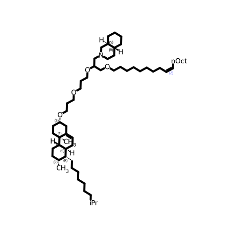 CCCCCCCC/C=C\CCCCCCCCOCC(CN1CC[C@H]2CCCC[C@@H]2C1)OCCCOCCCO[C@H]1CC[C@@]2(C)C(=CC[C@H]3[C@H](CCCCCCCC(C)C)[C@H](C)CC[C@@H]32)C1